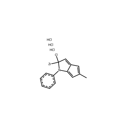 CC1=CC2=C[C](Cl)([Zr])N(c3ccccc3)C2=C1.Cl.Cl.Cl